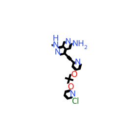 CNc1ncc(C#Cc2cc(OCC(C)(C)COc3cccc(Cl)n3)ccn2)c2cc(N)ncc12